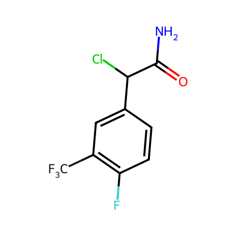 NC(=O)C(Cl)c1ccc(F)c(C(F)(F)F)c1